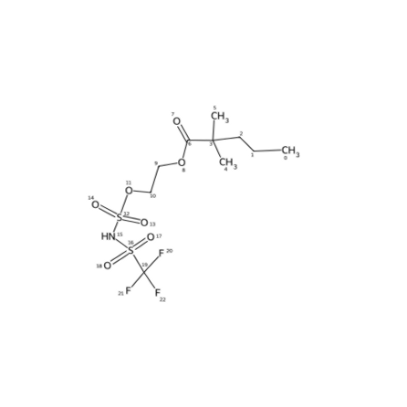 CCCC(C)(C)C(=O)OCCOS(=O)(=O)NS(=O)(=O)C(F)(F)F